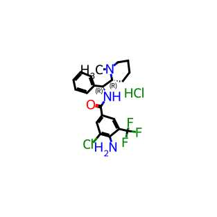 CN1CCCC[C@@H]1[C@H](NC(=O)c1cc(Cl)c(N)c(C(F)(F)F)c1)c1ccccc1.Cl